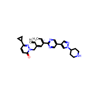 C=C/C(=C\C(=C/C)c1ncc(-c2cnn(C3CCNCC3)c2)cn1)Cn1nc(C2CC2)ccc1=O